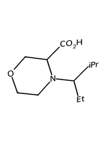 CCC(C(C)C)N1CCOCC1C(=O)O